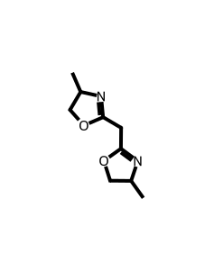 CC1COC(CC2=NC(C)CO2)=N1